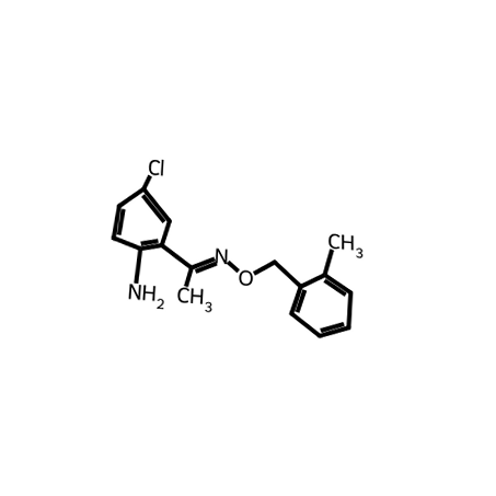 C/C(=N\OCc1ccccc1C)c1cc(Cl)ccc1N